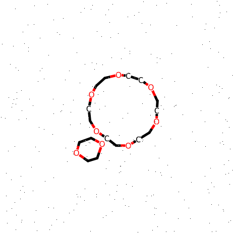 C1COCCO1.C1COCCOCCOCCOCCOCCO1